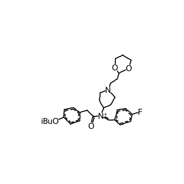 CC(C)COc1ccc(CC(=O)[N+](=Cc2ccc(F)cc2)C2CCN(CCC3OCCCO3)CC2)cc1